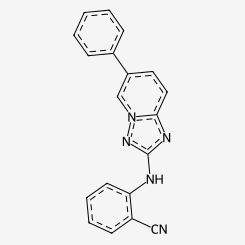 N#Cc1ccccc1Nc1nc2ccc(-c3ccccc3)cn2n1